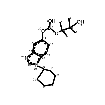 CC(C)(O)C(C)(C)OB(O)Oc1ccc2c(c1)ncn2C1CCCCC1